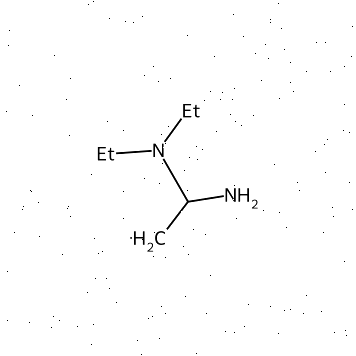 [CH2]C(N)N(CC)CC